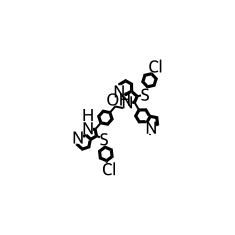 Cn1ccc2cc(-c3c(Sc4ccc(Cl)cc4)c4cccnc4n3CC(O)c3ccc(-c4[nH]c5ncccc5c4Sc4ccc(Cl)cc4)cc3)ccc21